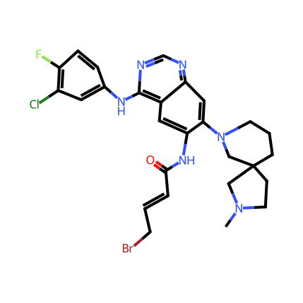 CN1CCC2(CCCN(c3cc4ncnc(Nc5ccc(F)c(Cl)c5)c4cc3NC(=O)/C=C/CBr)C2)C1